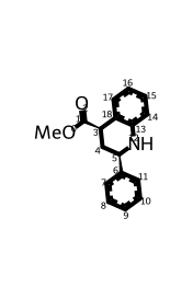 COC(=O)[C@@H]1C[C@H](c2ccccc2)Nc2ccccc21